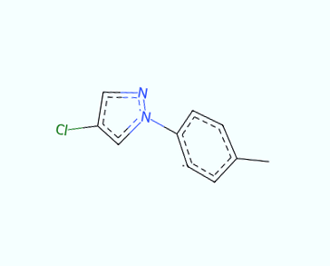 Cc1c[c]c(-n2cc(Cl)cn2)cc1